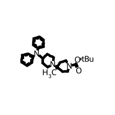 CC(C)(C)OC(=O)N1CCC(C)(N2CCC(N(c3ccccc3)c3ccccc3)CC2)CC1